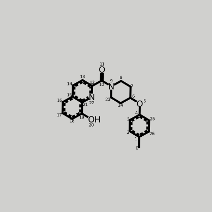 Cc1ccc(OC2CCN(C(=O)c3ccc4cccc(O)c4n3)CC2)cc1